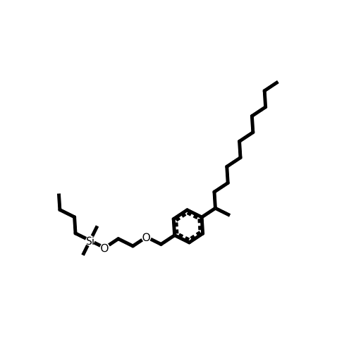 CCCCCCCCCCC(C)c1ccc(COCCO[Si](C)(C)CCCC)cc1